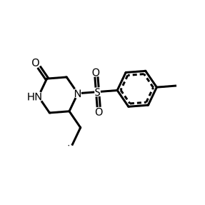 [CH2]CC1CNC(=O)CN1S(=O)(=O)c1ccc(C)cc1